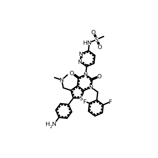 CN(C)Cc1c(-c2ccc(N)cc2)sc2c1c(=O)n(-c1ccc(NS(C)(=O)=O)nn1)c(=O)n2Cc1c(F)cccc1F